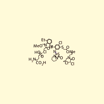 C=CCN(CC=C)C(=O)C(Cl)Cl.CCc1cccc(CC)c1N(COC)C(=O)CCl.COC(=O)CSc1cc(/N=c2\sc(=O)n3n2CCCC3)c(F)cc1Cl.CP(=O)(O)CCC(N)C(=O)O